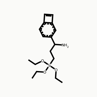 CCO[Si](CCC(N)c1ccc2c(c1)C=C2)(OCC)OCC